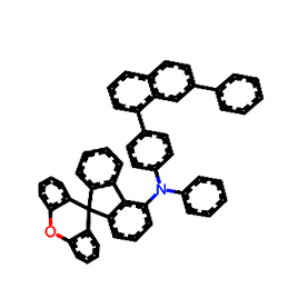 c1ccc(-c2ccc3cccc(-c4ccc(N(c5ccccc5)c5cccc6c5-c5ccccc5C65c6ccccc6Oc6ccccc65)cc4)c3c2)cc1